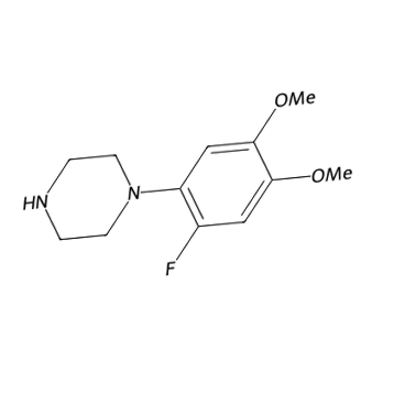 COc1cc(F)c(N2CCNCC2)cc1OC